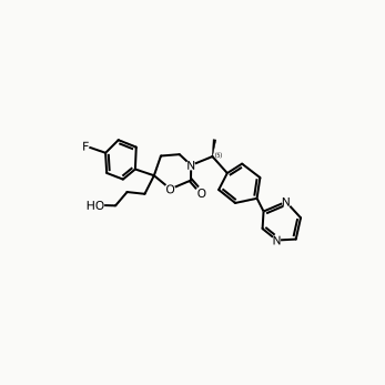 C[C@@H](c1ccc(-c2cnccn2)cc1)N1CCC(CCCO)(c2ccc(F)cc2)OC1=O